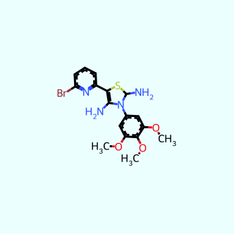 COc1cc(N2C(N)=C(c3cccc(Br)n3)SC2N)cc(OC)c1OC